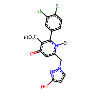 CCOC(=O)c1c(-c2ccc(Cl)c(Cl)c2)n(CC)c(Cn2ccc(O)n2)cc1=O